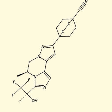 C[C@H]1Cn2nc(C34CCC(C#N)(CC3)CC4)cc2-c2cnc([C@@](C)(O)C(F)(F)F)n21